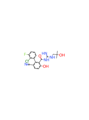 CC(C)(O)CNC(=N)NC(=O)c1c(O)ccc(C#N)c1-c1cccc(F)c1Cl